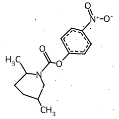 CC1CCC(C)N(C(=O)Oc2ccc([N+](=O)[O-])cc2)C1